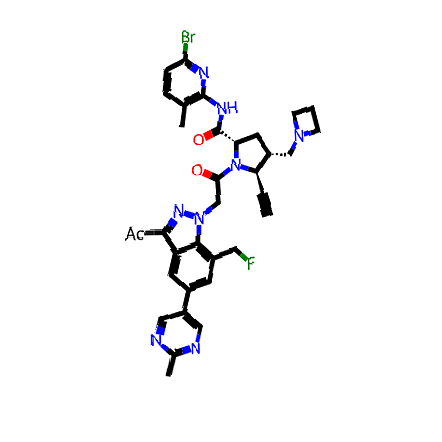 C#C[C@@H]1[C@@H](CN2CCC2)C[C@@H](C(=O)Nc2nc(Br)ccc2C)N1C(=O)Cn1nc(C(C)=O)c2cc(-c3cnc(C)nc3)cc(CF)c21